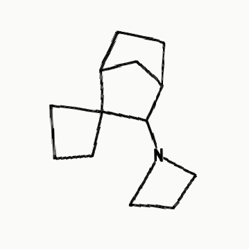 C1CN(C2C3CCC(C3)C23CCC3)C1